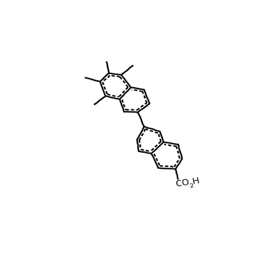 Cc1c(C)c(C)c2cc(-c3ccc4cc(C(=O)O)ccc4c3)ccc2c1C